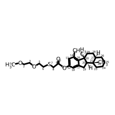 COCCOCCSCC(=O)Oc1cc(C)c2c(c1)C[C@@H]1[C@@]3(C)CCCC[C@@H]3CC[C@@]21C